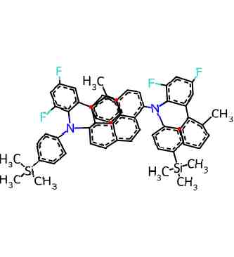 Cc1ccccc1-c1cc(F)cc(F)c1N(c1ccc([Si](C)(C)C)cc1)c1ccc2ccc3c(N(c4ccc([Si](C)(C)C)cc4)c4c(F)cc(F)cc4-c4ccccc4C)ccc4ccc1c2c43